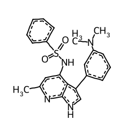 Cc1cc(NS(=O)(=O)c2ccccc2)c2c(-c3cccc(N(C)C)c3)c[nH]c2n1